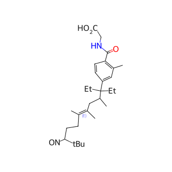 CCC(CC)(c1ccc(C(=O)NCC(=O)O)c(C)c1)C(C)C/C(C)=C(\C)CCC(N=O)C(C)(C)C